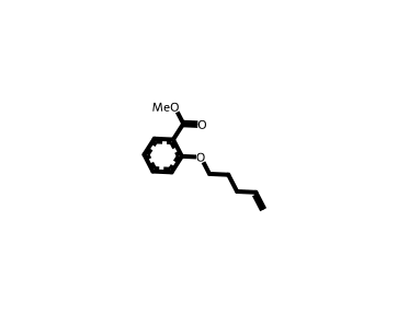 C=CCCCOc1ccccc1C(=O)OC